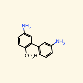 Nc1cccc(-c2cc(N)ccc2C(=O)O)c1